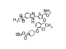 C[C@@H](Oc1cc(-c2nc3ccc(S(C)(=O)=O)cc3[nH]2)sc1C(N)=O)c1cccc(OC2CCN(C(=O)OC(C)(C)C)CC2)c1Cl